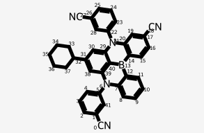 N#Cc1cccc(N2c3ccccc3B3c4ccc(C#N)cc4N(c4cccc(C#N)c4)c4cc(C5CCCCC5)cc2c43)c1